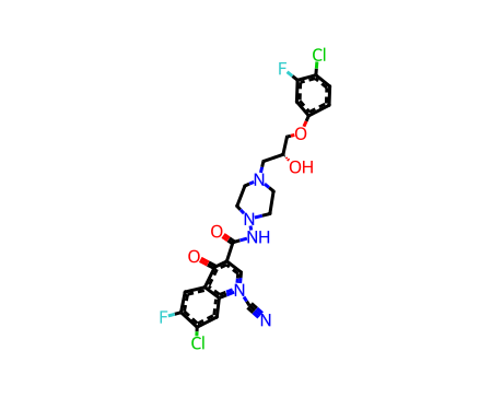 N#Cn1cc(C(=O)NN2CCN(C[C@@H](O)COc3ccc(Cl)c(F)c3)CC2)c(=O)c2cc(F)c(Cl)cc21